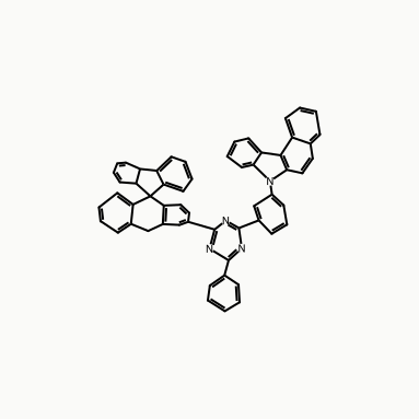 C1=CC2c3ccccc3C3(c4ccccc4Cc4cc(-c5nc(-c6ccccc6)nc(-c6cccc(-n7c8ccccc8c8c9ccccc9ccc87)c6)n5)ccc43)C2C=C1